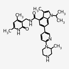 Cc1cc(C)c(CNC(=O)c2cc(-c3ccc(N4CCNCC4C)nc3)cc3c2c(C)cn3C(C)C)c(=O)[nH]1